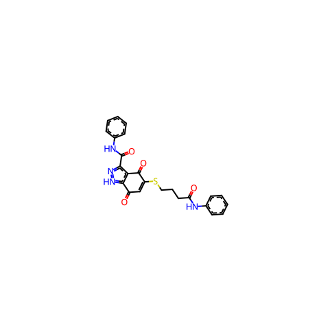 O=C(CCCSC1=CC(=O)c2[nH]nc(C(=O)Nc3ccccc3)c2C1=O)Nc1ccccc1